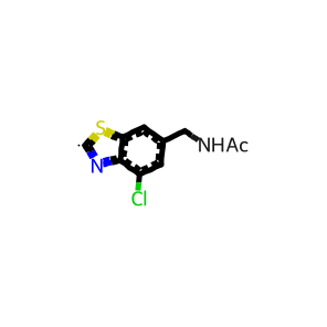 CC(=O)NCc1cc(Cl)c2n[c]sc2c1